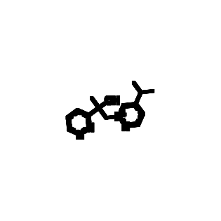 CC(C)c1ccn[n+](CC(C)(O)c2cccnn2)c1